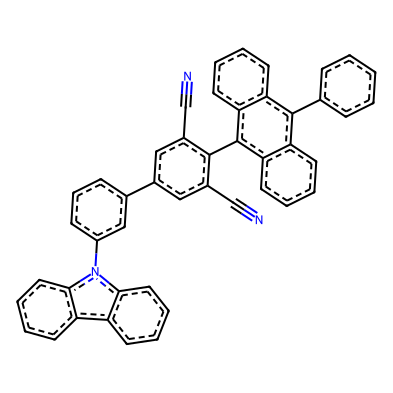 N#Cc1cc(-c2cccc(-n3c4ccccc4c4ccccc43)c2)cc(C#N)c1-c1c2ccccc2c(-c2ccccc2)c2ccccc12